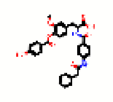 COc1cc(CC(NC(=O)c2ccc(NC(=O)Cc3ccccc3)cc2)C(=O)O)ccc1OC(=O)c1ccc(O)cc1